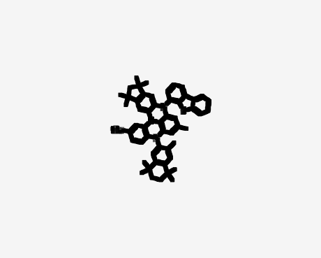 Cc1cc2c3c(c1)N(c1cccc4c1sc1ccccc14)c1cc4c(cc1B3c1cc(C(C)(C)C)ccc1N2c1cc2c(cc1C)C(C)(C)CCC2(C)C)C(C)(C)CC4(C)C